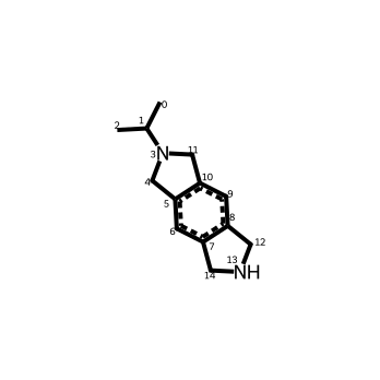 CC(C)N1Cc2cc3c(cc2C1)CNC3